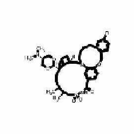 C[C@@H]1CS(=O)(=O)NC(=O)c2ccc3c(c2)N(CCCCc2cc(Cl)ccc2CO3)C[C@@H]2CC3[C@H]2C3([C@H]2OC[C@@H](N(C)C)CO2)CC[C@@H]1C